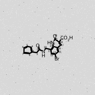 O=C(Cc1ccccc1)NCc1cc(Br)cc2cc(C(=O)O)c(=O)[nH]c12